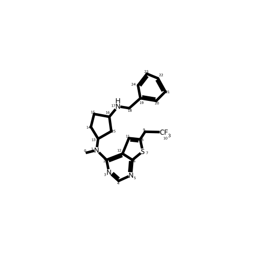 CN(c1ncnc2sc(CC(F)(F)F)cc12)C1CCC(NCc2ccccc2)C1